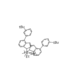 C[CH2][Hf]([CH3])([CH3])([CH3])(=[SiH2])([CH]1C=Cc2c(-c3cccc(C(C)(C)C)c3)cccc21)[CH]1C=Cc2c(-c3cccc(C(C)(C)C)c3)cccc21